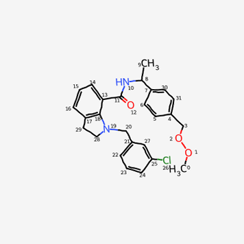 COOCc1ccc(C(C)NC(=O)c2cccc3c2N(Cc2cccc(Cl)c2)CC3)cc1